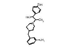 Cc1cccc(CC2CCN(C(C)C(O)c3ccc(O)cc3)CC2)c1